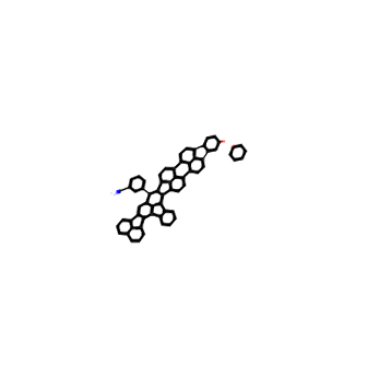 N#Cc1cccc(-c2c3cc4c5cccc6cccc(c65)c4c4c5ccccc5c(c5c6ccc7c8ccc9c%10c(ccc(c%11ccc(c25)c6c%117)c%108)-c2ccc(Oc5ccccc5)cc2-9)c34)c1